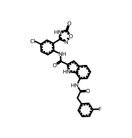 O=C(Cc1cccc(F)c1)Nc1cccc2cc(C(=O)Nc3ccc(Cl)cc3-c3noc(=O)[nH]3)[nH]c12